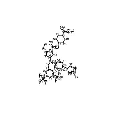 CC[C@@H]1C[C@H](N(Cc2cc(C(F)(F)F)cc(C(F)(F)F)c2)c2ncc(C3C=NN(C)C3)cn2)CN1C(=O)O[C@H]1CC[C@H](C(=O)O)CC1